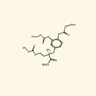 CCCCCOC(=O)Oc1ccc(C[C@](N)(CCOC(=O)OCCC)C(=O)OC)cc1OC(=O)OCCCCC